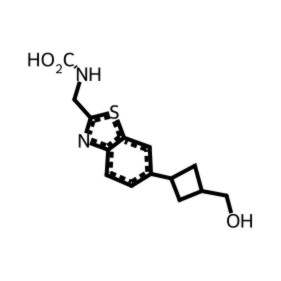 O=C(O)NCc1nc2ccc(C3CC(CO)C3)cc2s1